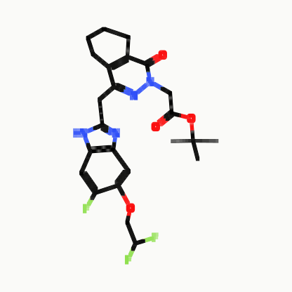 CC(C)(C)OC(=O)Cn1nc(Cc2nc3cc(OCC(F)F)c(F)cc3[nH]2)c2c(c1=O)CCCC2